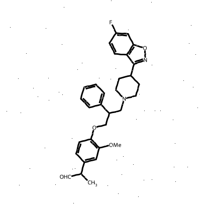 COc1cc(C(C)C=O)ccc1OCC(CN1CCC(c2noc3cc(F)ccc23)CC1)c1ccccc1